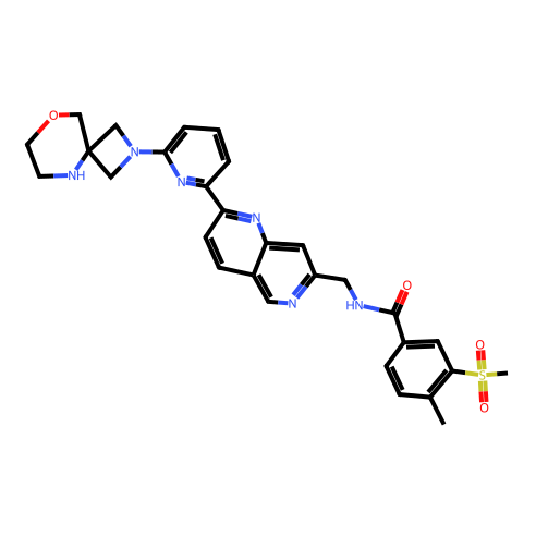 Cc1ccc(C(=O)NCc2cc3nc(-c4cccc(N5CC6(COCCN6)C5)n4)ccc3cn2)cc1S(C)(=O)=O